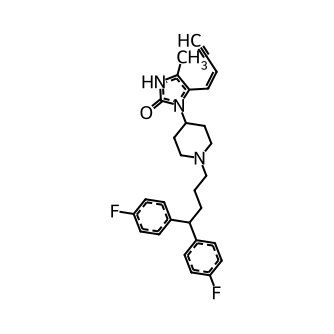 C#C/C=C\c1c(C)[nH]c(=O)n1C1CCN(CCCC(c2ccc(F)cc2)c2ccc(F)cc2)CC1